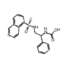 O=C(O)NC(CNS(=O)(=O)c1cccc2cnccc12)c1ccccc1